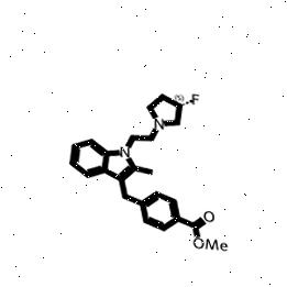 COC(=O)c1ccc(Cc2c(C)n(CCN3CC[C@H](F)C3)c3ccccc23)cc1